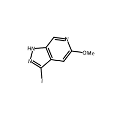 COc1cc2c(I)n[nH]c2cn1